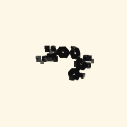 CNCC(=O)N(C)c1ccc([C@H]2CN(c3nc(-c4ccncc4F)cc(=O)n3C)CCO2)cc1